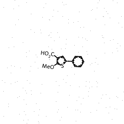 COc1sc(-c2ccccc2)cc1C(=O)O